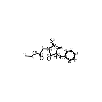 C=S1C(=S)N(CC(=O)OCC)C(=O)C1Nc1ccccc1